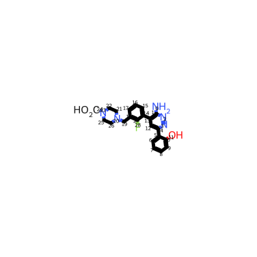 Nc1nnc(-c2ccccc2O)cc1-c1cccc(CN2CCN(C(=O)O)CC2)c1F